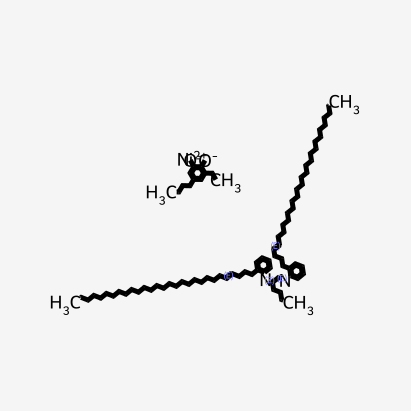 CCCCCCCCCCCCCCCCCCCCCCCC/C=C/CCCc1ccccc1/N=C(\C=N\c1ccccc1CCC/C=C/CCCCCCCCCCCCCCCCCCCCCCCC)CCCC.CCCCc1cc([O-])c([O-])c(CC)c1.[Ni+2]